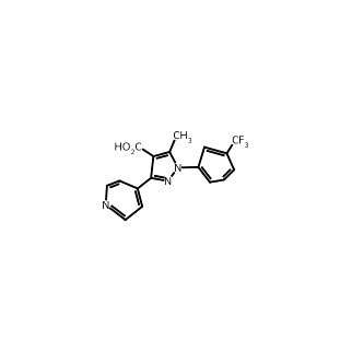 Cc1c(C(=O)O)c(-c2ccncc2)nn1-c1cccc(C(F)(F)F)c1